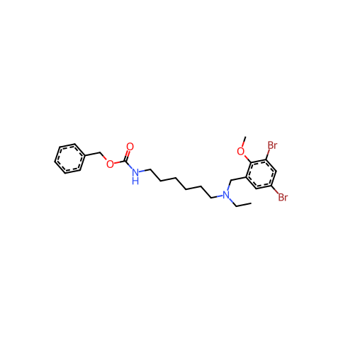 CCN(CCCCCCNC(=O)OCc1ccccc1)Cc1cc(Br)cc(Br)c1OC